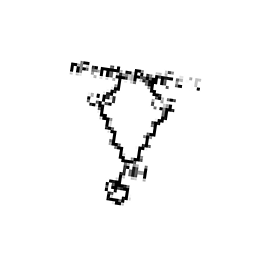 CCCCCC(CCCCC)CCOC(=O)CCCCCCCC(CCCCCCCC(=O)OCCC(CCCCC)CCCCC)NCC1CCCCO1